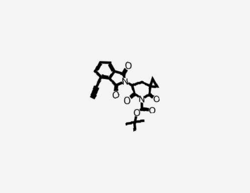 C#Cc1cccc2c1C(=O)N(C1CC3(CC3)C(=O)N(C(=O)OC(C)(C)C)C1=O)C2=O